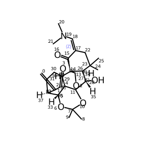 C=C1C(=O)[C@@]23[C@@H]4OC(C)(C)OC25OC[C@]2(C(=O)/C(=C\N(C)C)CC(C)(C)[C@H]2[C@@H]5O)[C@@H]3CC[C@@H]14